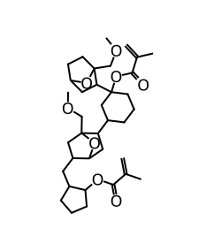 C=C(C)C(=O)OC1CCCC1CC1CC2(COC)OC1CC2C1CCCC(OC(=O)C(=C)C)(C2CC3CCC2(COC)O3)C1